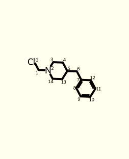 ClCN1CCC(Cc2ccccc2)CC1